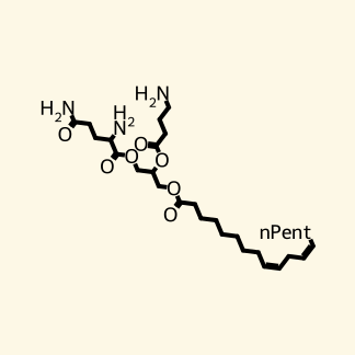 CCCCC/C=C\C/C=C\CCCCCCCC(=O)OCC(COC(=O)C(N)CCC(N)=O)OC(=O)CCCN